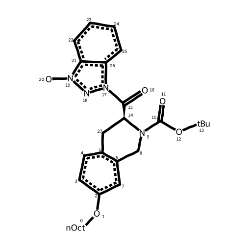 CCCCCCCCOc1ccc2c(c1)CN(C(=O)OC(C)(C)C)[C@H](C(=O)n1n[n+]([O-])c3ccccc31)C2